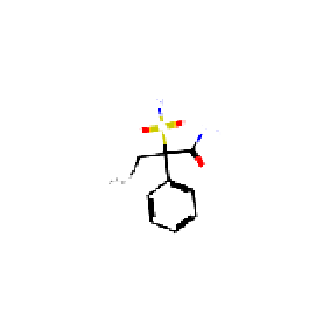 COCC(C(N)=O)(c1ccccc1)S(N)(=O)=O